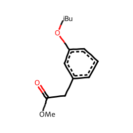 CCC(C)Oc1cccc(CC(=O)OC)c1